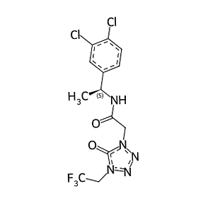 C[C@H](NC(=O)Cn1nnn(CC(F)(F)F)c1=O)c1ccc(Cl)c(Cl)c1